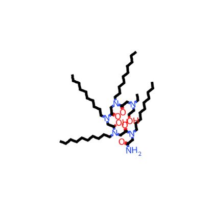 CCCCCCCCCCN(CC(N)=O)C(=O)CN(CCCCCCCCCC)C(O)CN(CCCCCCCCCC)C(=O)CN(CCCCCCCCCC)C(=O)CN(CC)CCO